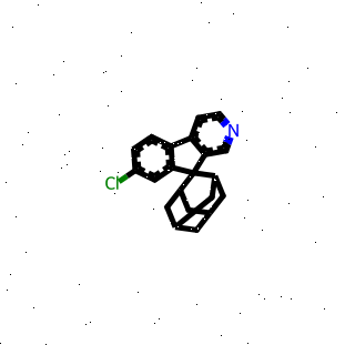 Clc1ccc2c(c1)C1(c3cnccc3-2)C2CC3CC(C2)CC1C3